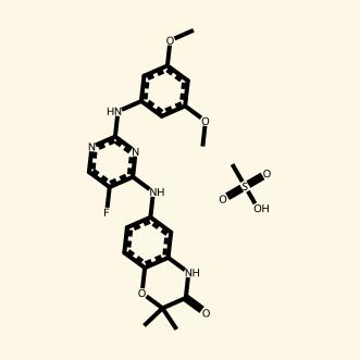 COc1cc(Nc2ncc(F)c(Nc3ccc4c(c3)NC(=O)C(C)(C)O4)n2)cc(OC)c1.CS(=O)(=O)O